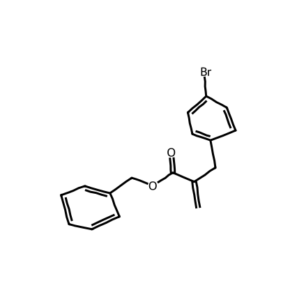 C=C(Cc1ccc(Br)cc1)C(=O)OCc1ccccc1